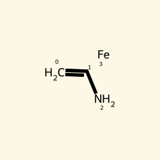 C=CN.[Fe]